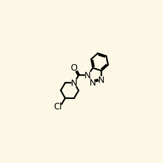 O=C(N1CCC(Cl)CC1)n1nnc2ccccc21